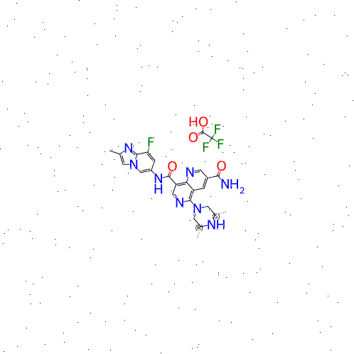 Cc1cn2cc(NC(=O)c3cnc(N4C[C@@H](C)N[C@@H](C)C4)c4cc(C(N)=O)cnc34)cc(F)c2n1.O=C(O)C(F)(F)F